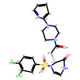 O=C1NC=CN(S(=O)(=O)c2ccc(Cl)c(Cl)c2)[C@@H]1CC(=O)N1CCN(c2ccccn2)CC1